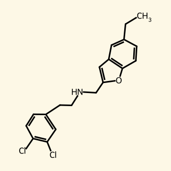 CCc1ccc2oc(CNCCc3ccc(Cl)c(Cl)c3)cc2c1